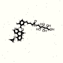 Cc1ccc(CCCCC(=O)NC[C@@H](O)[C@H](O)[C@@H](O)[C@@H](O)CO)cc1COC1(c2cnccc2-c2ccccc2OC2CC2)CC1